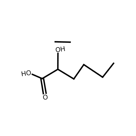 CC.CCCCC(O)C(=O)O